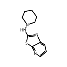 c1cnc2sc(NN3CCCCC3)nc2c1